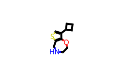 c1sc2c(c1C1CCC1)OCCNC2